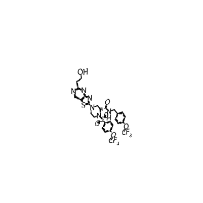 O=C(NCc1ccc(OC(F)(F)F)cc1)[C@H]1CN(c2nc3nc(CCO)ncc3s2)CCN1S(=O)(=O)c1ccc(OC(F)(F)F)cc1